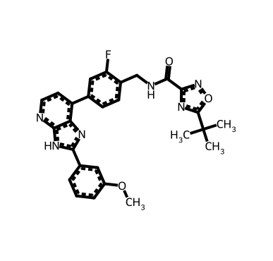 COc1cccc(-c2nc3c(-c4ccc(CNC(=O)c5noc(C(C)(C)C)n5)c(F)c4)ccnc3[nH]2)c1